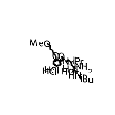 CCC(C)NC[C@H](O)[C@@H](N)C[C@H](CNC(=O)c1ccccc1OCCCCOC)C(C)C.Cl.Cl